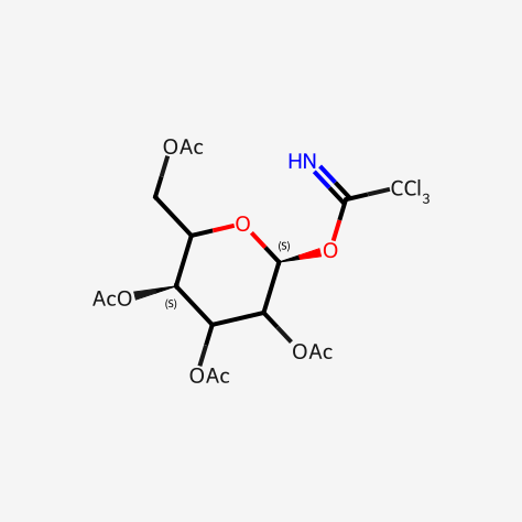 CC(=O)OCC1O[C@@H](OC(=N)C(Cl)(Cl)Cl)C(OC(C)=O)C(OC(C)=O)[C@H]1OC(C)=O